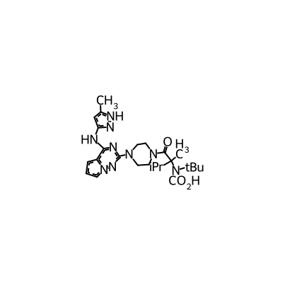 Cc1cc(Nc2nc(N3CCN(C(=O)C(C)(C(C)C)N(C(=O)O)C(C)(C)C)CC3)nn3cccc23)n[nH]1